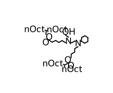 CCCCCCCCC(CCCCCCCC)COC(=O)CCCCCN(CCO)CCN(CCCCCOC(=O)C(CCCCCCCC)CCCCCCCC)C1CCCCC1